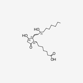 CCCCCCC[C@H](O)C=C[C@@H]1[C@H](O)CC(=O)[C@@H]1CCCCCCC(=O)O